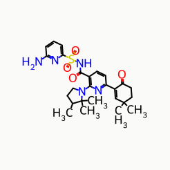 CC1CCN(c2nc(C3=CC(C)(C)CCC3=O)ccc2C(=O)NS(=O)(=O)c2cccc(N)n2)C1(C)C